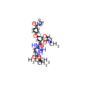 CN1CC[C@H](Oc2cc(Oc3ccc(C(=O)N4CCC4)cc3)cc(C(=O)NC(=N)/C=C\NC(=O)OC(C)(C)C)c2)C1=O